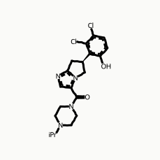 CC(C)N1CCN(C(=O)c2cnc3n2C[C@H](c2c(O)ccc(Cl)c2Cl)C3)CC1